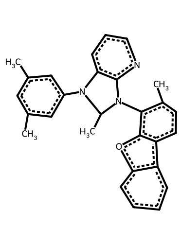 Cc1cc(C)cc(N2c3cccnc3N(c3c(C)ccc4c3oc3ccccc34)C2C)c1